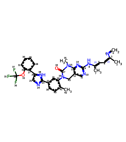 C=N/C(C)=C\C=C(/C)Nc1ncc2c(n1)N(C)C(=O)N(c1cc(-c3ncc(-c4ccccc4OC(F)(F)F)[nH]3)ccc1C)C2